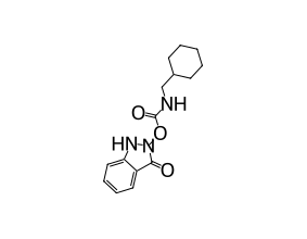 O=C(NCC1CCCCC1)On1[nH]c2ccccc2c1=O